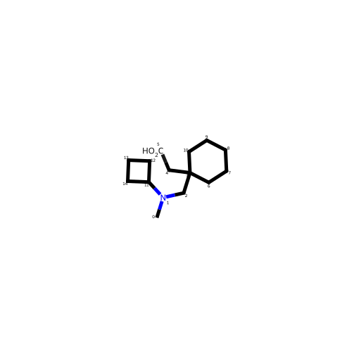 CN(CC1(CC(=O)O)CCCCC1)C1CCC1